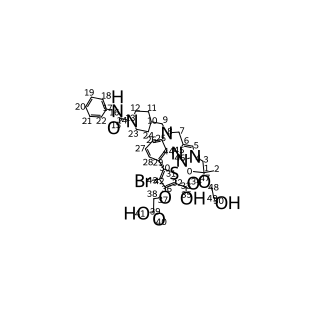 CC(C)(Cn1cc(CN(CC2CCN(C(=O)Nc3ccccc3)CC2)c2cccc(-c3sc(C(=O)O)c(OCC(=O)O)c3Br)c2)nn1)OCCO